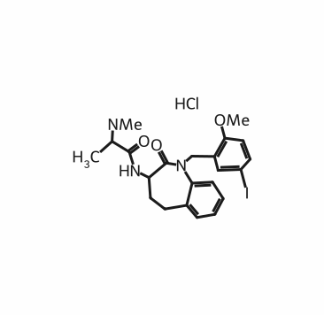 CNC(C)C(=O)NC1CCc2ccccc2N(Cc2cc(I)ccc2OC)C1=O.Cl